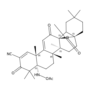 CC(=O)ON[C@@]12CC[C@]3(C)C(=CC(=O)[C@]45OC(=O)[C@@]6(CCC(C)(C)CC64)CC[C@@]35C)[C@@]1(C)C=C(C#N)C(=O)C2(C)C